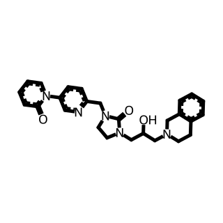 O=C1N(Cc2ccc(-n3ccccc3=O)cn2)CCN1CC(O)CN1CCc2ccccc2C1